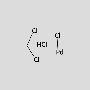 Cl.ClCCl.[Cl][Pd]